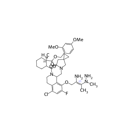 COc1ccc(COC(=O)[C@@]2(C)CCCCC2C(=O)N2CCc3c(Cl)cc(F)c(OC/C(N)=C(\C)N(C)N)c3C2CN2CC3(CC3)CC2=O)c(OC)c1